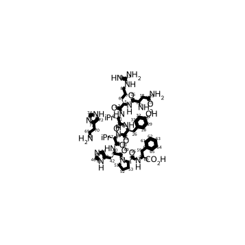 CC(C)[C@H](NC(=O)[C@H](CCCNC(=N)N)NC(=O)[C@@H](N)CC(N)=O)C(=O)N[C@@H](Cc1ccc(O)cc1)C(=O)N[C@H](C(=O)N[C@@H](Cc1cnc[nH]1)C(=O)N1CCC[C@H]1C(=O)N[C@@H](Cc1ccccc1)C(=O)O)C(C)C.NCCc1c[nH]cn1